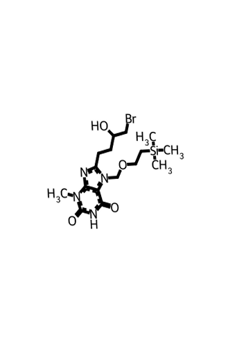 Cn1c(=O)[nH]c(=O)c2c1nc(CCC(O)CBr)n2COCC[Si](C)(C)C